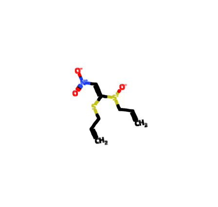 C=CCS/C(=C\[N+](=O)[O-])[S+]([O-])CC=C